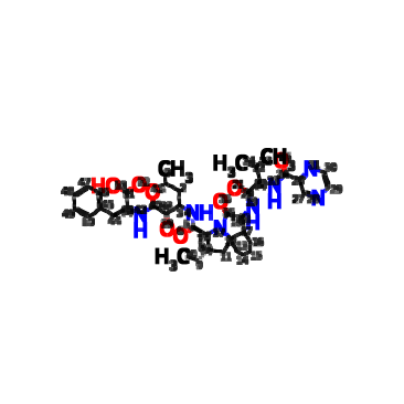 CCCC(NC(=O)[C@@H]1[C@@H](CC)CC23CCCCC2[C@H](NC(=O)[C@@H](NC(=O)c2cnccn2)C(C)C)C(=O)N13)C(=O)C(=O)N[C@@H](Cc1ccccc1)C(=O)O